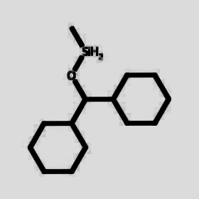 C[SiH2]OC(C1CCCCC1)C1CCCCC1